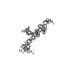 CC(C)c1ccccc1C1(O)CCCN1C1CC2(CCN(c3ccc(C(=O)NS(=O)(=O)c4cc5c(c([N+](=O)[O-])c4)N[C@@H](C4CCC(C)(C)CC4)CO5)c(Oc4cnc5[nH]cc(F)c5c4)c3)CC2)C1